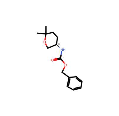 CC1(C)CC[C@H](NC(=O)OCc2ccccc2)CO1